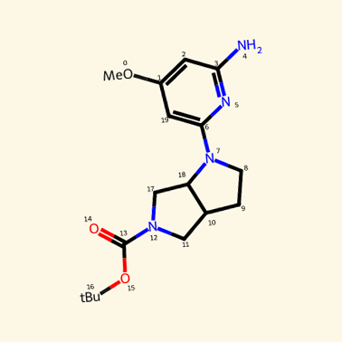 COc1cc(N)nc(N2CCC3CN(C(=O)OC(C)(C)C)CC32)c1